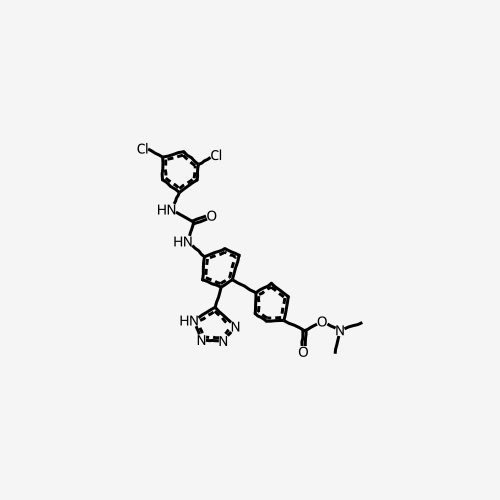 CN(C)OC(=O)c1ccc(-c2ccc(NC(=O)Nc3cc(Cl)cc(Cl)c3)cc2-c2nnn[nH]2)cc1